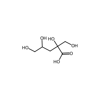 O=C(O)C(O)(CO)CC(O)CO